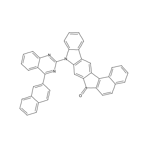 O=C1c2cc3c(cc2-c2c1ccc1ccccc21)c1ccccc1n3-c1nc(-c2ccc3ccccc3c2)c2ccccc2n1